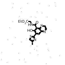 CCOC(=O)CNC(=O)c1c(O)c(-c2nc(C)cs2)cc2nccnc12